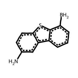 Bc1cccc2c1sc1ccc(N)cc12